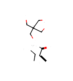 C=CC(=O)OC.O=C(O)CC(=O)O.OCC(CO)(CO)CO